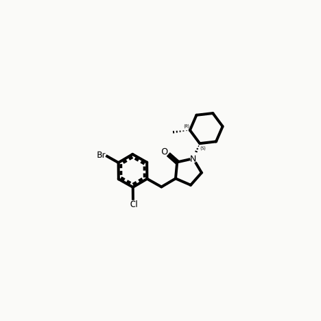 C[C@@H]1CCCC[C@@H]1N1CCC(Cc2ccc(Br)cc2Cl)C1=O